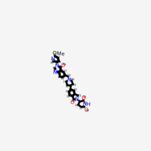 COc1ccc(-n2cnc3ccc(CN4CCC(c5ccc6c(c5)CN(C5CCC(=O)NC5=O)C6=O)CC4)cc3c2=O)cn1